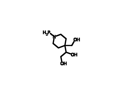 OCC(O)C1(CO)CCN(P)CC1